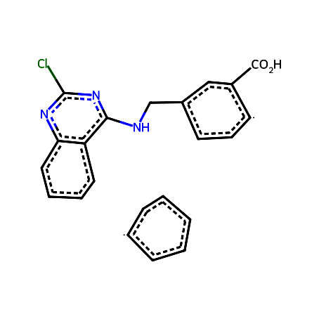 O=C(O)c1[c]ccc(CNc2nc(Cl)nc3ccccc23)c1.[c]1ccccc1